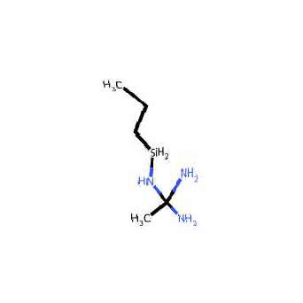 CCC[SiH2]NC(C)(N)N